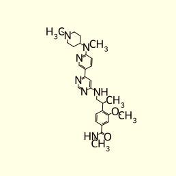 CNC(=O)c1ccc([C@H](C)CNc2cc(-c3ccc(N(C)C4CCN(C)CC4)nc3)ncn2)c(OC)c1